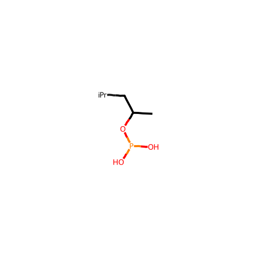 CC(C)CC(C)OP(O)O